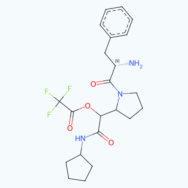 N[C@@H](Cc1ccccc1)C(=O)N1CCCC1C(OC(=O)C(F)(F)F)C(=O)NC1CCCC1